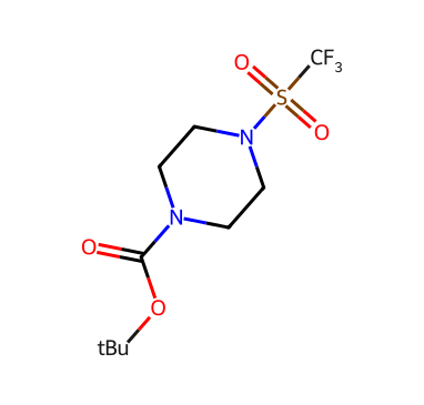 CC(C)(C)OC(=O)N1CCN(S(=O)(=O)C(F)(F)F)CC1